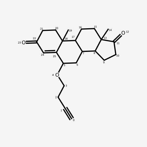 C#CCCOC1CC2C3CCC(=O)C3(C)CCC2C2(C)CCC(=O)C=C12